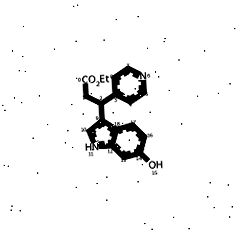 CCOC(=O)CC(c1ccncc1)c1c[nH]c2cc(O)ccc12